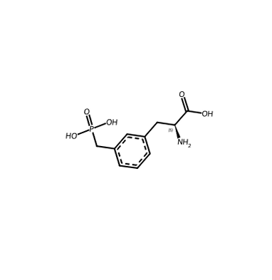 N[C@@H](Cc1cccc(CP(=O)(O)O)c1)C(=O)O